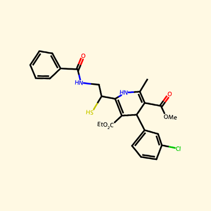 CCOC(=O)C1=C(C(S)CNC(=O)c2ccccc2)NC(C)=C(C(=O)OC)C1c1cccc(Cl)c1